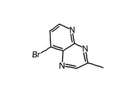 Cc1cnc2c(Br)ccnc2n1